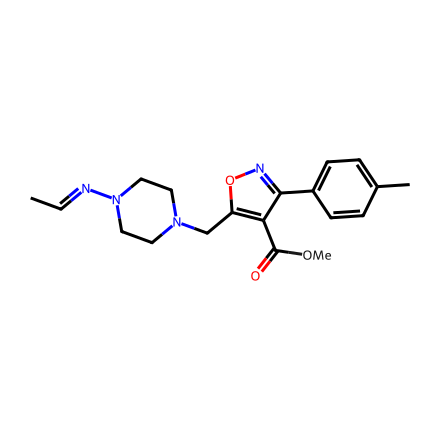 C/C=N/N1CCN(Cc2onc(-c3ccc(C)cc3)c2C(=O)OC)CC1